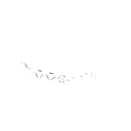 CCCCCCCC12CCC(c3ccc(-c4ccc(OC/C=C/C(F)(F)F)cc4)cc3)(CC1)CC2